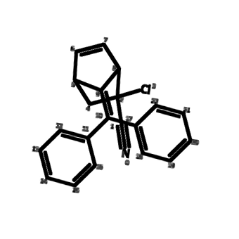 N#CC1(Cl)CC2C=CC1C2=C(c1ccccc1)c1ccccc1